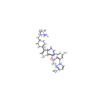 Cc1ccn(-c2cc(Cl)ccc2[C@@H](Oc2ncnc3c(C4=CCC(C[C@H](N)C(=O)O)CC4)csc23)C(F)(F)F)n1